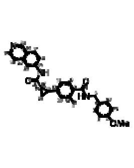 COc1ccc(CNC(=O)c2ccc(C3C[C@H]3C(=O)Nc3ccc4cnccc4c3)cc2F)cc1